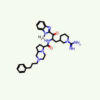 Cn1c(C(=O)C(CC2CCCN(C(=N)N)C2)NC(=O)C2CCC3CN(CCCc4ccccc4)CCN32)nc2ccccc21